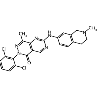 Cc1nn(-c2c(Cl)cccc2Cl)c(=O)c2cnc(Nc3ccc4c(c3)CN(C)CC4)nc12